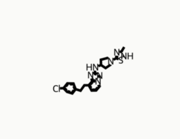 CC1N=C(N2CCC(Nc3nc4c(CCc5ccc(Cl)cc5)cccn4n3)CC2)SN1